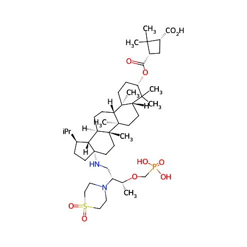 CC(C)[C@@H]1CC[C@]2(NC[C@H]([C@@H](C)OCP(=O)(O)O)N3CCS(=O)(=O)CC3)CC[C@]3(C)[C@H](CC[C@@H]4[C@@]5(C)CC[C@H](OC(=O)[C@H]6C[C@@H](C(=O)O)C6(C)C)C(C)(C)[C@@H]5CC[C@]43C)[C@@H]12